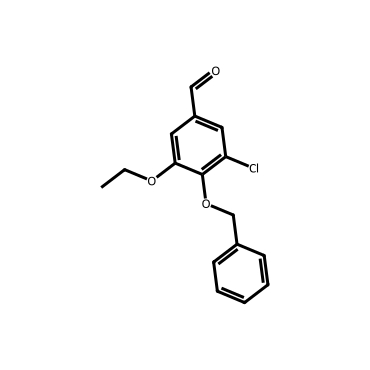 CCOc1cc(C=O)cc(Cl)c1OCc1ccccc1